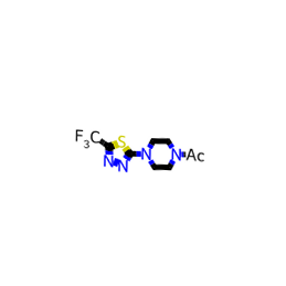 CC(=O)N1CCN(c2nnc(C(F)(F)F)s2)CC1